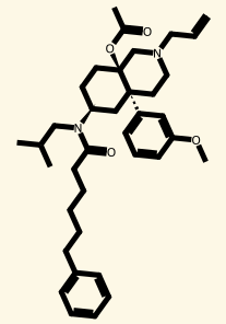 C=CCN1CC[C@@]2(c3cccc(OC)c3)C[C@@H](N(CC(C)C)C(=O)CCCCCc3ccccc3)CC[C@]2(OC(C)=O)C1